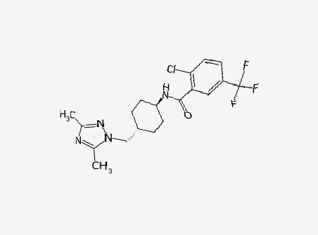 Cc1nc(C)n(C[C@H]2CC[C@H](NC(=O)c3cc(C(F)(F)F)ccc3Cl)CC2)n1